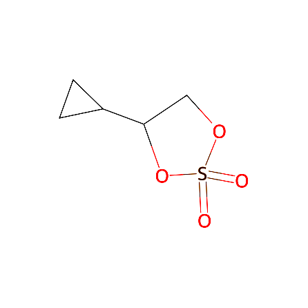 O=S1(=O)OCC(C2CC2)O1